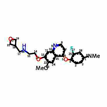 CNc1ccc(Oc2ccnc3cc(OCCNCC4COC4)c(OC)cc23)c(F)c1